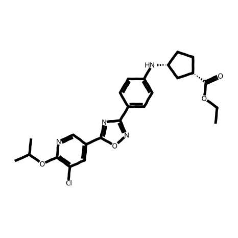 CCOC(=O)[C@H]1CC[C@@H](Nc2ccc(-c3noc(-c4cnc(OC(C)C)c(Cl)c4)n3)cc2)C1